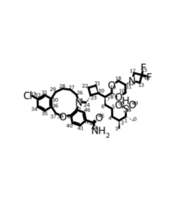 C[C@H]([C@@H](C)CCC[C@H]([C@H]1OC[C@@H](N2CC(F)(F)C2)CO1)[C@@H]1CC[C@H]1CN1CCCCc2cc(Cl)ccc2COc2ccc(C(N)=O)cc21)[SH](=O)=O